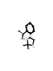 C[C@H](N)c1ccccc1[C@@H]1COC(C)(C)O1